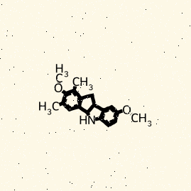 COc1ccc2c(c1)C1Cc3c(cc(C)c(OC)c3C)C1N2